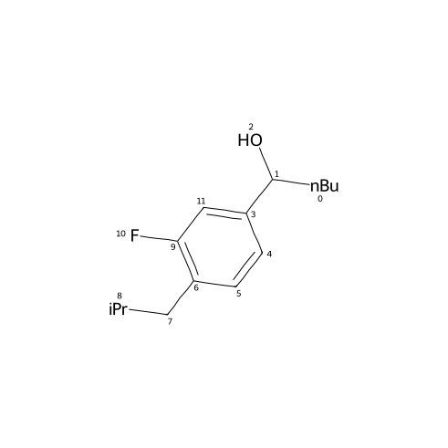 CCCCC(O)c1ccc(CC(C)C)c(F)c1